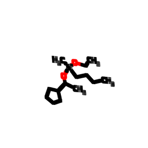 CCCC[Si](C)(OCC)OC(C)C1CCCC1